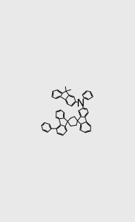 CC1(C)c2ccccc2-c2ccc(N(c3ccccc3)c3ccc4c(c3)C3(CCC5(CC3)c3ccccc3-c3c(-c6ccccc6)cccc35)c3ccccc3-4)cc21